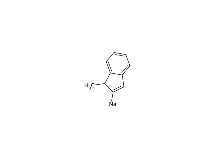 CC1[C]([Na])=Cc2ccccc21